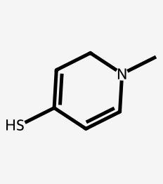 CN1C=CC(S)=CC1